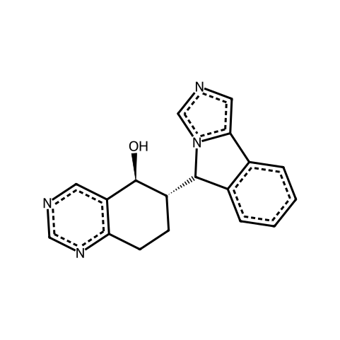 O[C@@H]1c2cncnc2CC[C@H]1C1c2ccccc2-c2cncn21